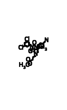 COC(=O)CCCN1CC(c2ccc(C#N)cc2)C2(C1)C(=O)N(c1cc(Cl)cc(Cl)c1)C(=O)N2C